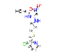 C#CCNC(=C[N+](=O)[O-])NCCCSCc1ncccc1Cl